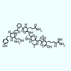 CC(C)C[C@H](NC(=O)[C@H](CS)NC(=O)[C@H](CCC(N)=O)NC(=O)[C@@H]1CCCN1C(=O)CNC(=O)[C@H](Cc1ccc(O)cc1)NC(=O)[C@@H](N)CS)C(=O)N[C@@H](CS)C(=O)N[C@@H](CCCNC(=N)N)C(=O)O